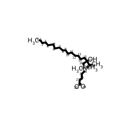 CCCCCCCCCCCCCCCCC(O)(CC)C[N+](C)(C)CCCCC(=O)[O-]